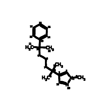 Cn1cc(C(C)(C)CCCC(C)(C)c2ccccc2)cn1